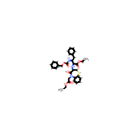 CCOC(=O)CN1C(=O)C(NC(C(=O)OCC)C(Cc2ccccc2)NC(=O)OCc2ccccc2)CSc2ccccc21